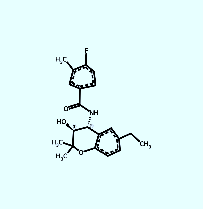 CCc1ccc2c(c1)[C@@H](NC(=O)c1ccc(F)c(C)c1)[C@H](O)C(C)(C)O2